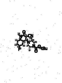 C[C@@H]1CN(c2c(C#N)c(=O)n(C)c3ccc(F)cc23)[C@@H](C)CN1C(=O)OC(C)(C)C